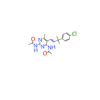 CC(=O)Nc1nc(C)c(/C=C/C(C)(C)c2ccc(Cl)cc2)c(NC(C)=O)n1